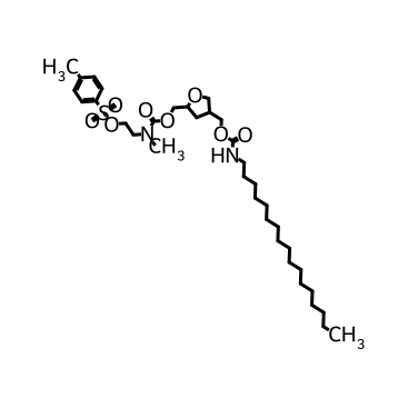 CCCCCCCCCCCCCCCCCNC(=O)OCC1COC(COC(=O)N(C)CCOS(=O)(=O)c2ccc(C)cc2)C1